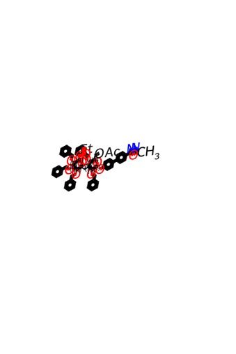 CCC(=O)O[C@H]1O[C@H](C[C@@H]2[C@H](OCc3ccccc3)[C@@H](Oc3ccc(-c4ccc(-c5nnc(C)o5)cc4)cc3)O[C@H](COC(C)=O)[C@H]2OCc2ccccc2)[C@@H](OCc2ccccc2)[C@@H](OCc2ccccc2)[C@H]1OCc1ccccc1